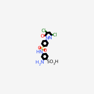 Nc1cc(NS(=O)(=O)c2ccc(-n3nc(Cl)cc(Cl)c3=O)cc2)ccc1S(=O)(=O)O